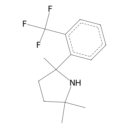 CC1(C)CCC(C)(c2ccccc2C(F)(F)F)N1